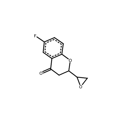 O=C1CC(C2CO2)Oc2ccc(F)cc21